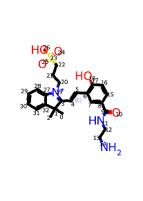 CC1(C)C(/C=C/c2cc(C(=O)NCCN)ccc2O)=[N+](CCCS(=O)(=O)O)c2ccccc21